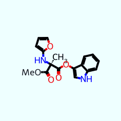 COC(=O)[C@@](C)(Nc1ccco1)C(=O)Oc1c[nH]c2ccccc12